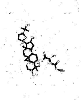 CC(=O)O[C@H]1CC[C@]23CC24CCC2(C)C([C@@]5(C)CC[C@@H](C(C)(C)O)O5)C(O)C[C@@]2(C)C4C[C@H](OC(=O)[C@@H](NC(=O)OC(C)(C)C)C(C)C)[C@H]3C1(C)C